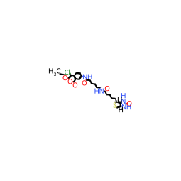 CCCOc1oc(=O)c2cc(NC(=O)CCCCCNC(=O)CCCC[C@@H]3SC[C@@H]4NC(=O)N[C@@H]43)ccc2c1Cl